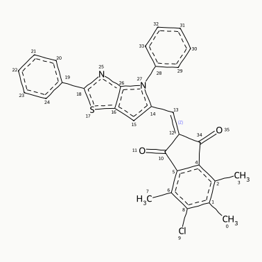 Cc1c(C)c2c(c(C)c1Cl)C(=O)/C(=C\c1cc3sc(-c4ccccc4)nc3n1-c1ccccc1)C2=O